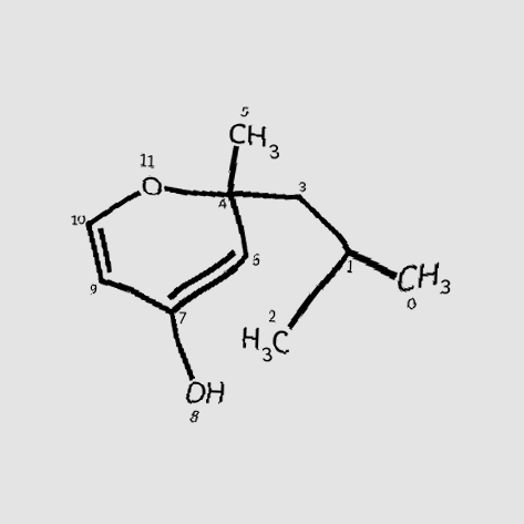 CC(C)CC1(C)C=C(O)C=CO1